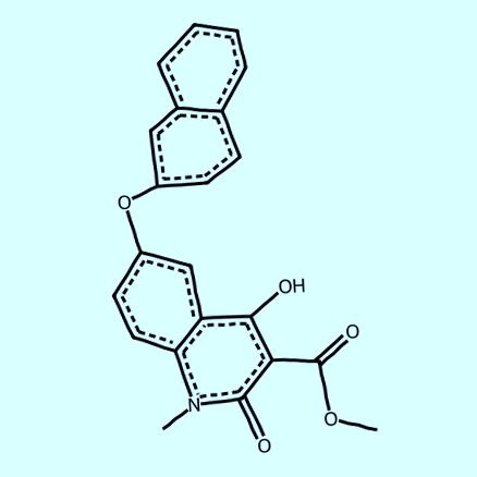 COC(=O)c1c(O)c2cc(Oc3ccc4ccccc4c3)ccc2n(C)c1=O